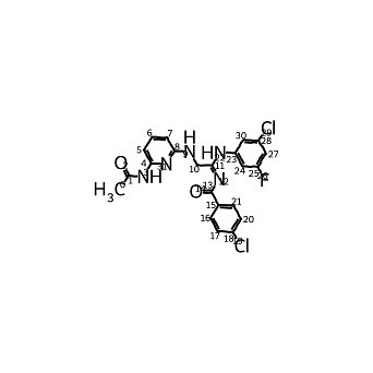 CC(=O)Nc1cccc(NC/C(=N\C(=O)c2ccc(Cl)cc2)Nc2cc(F)cc(Cl)c2)n1